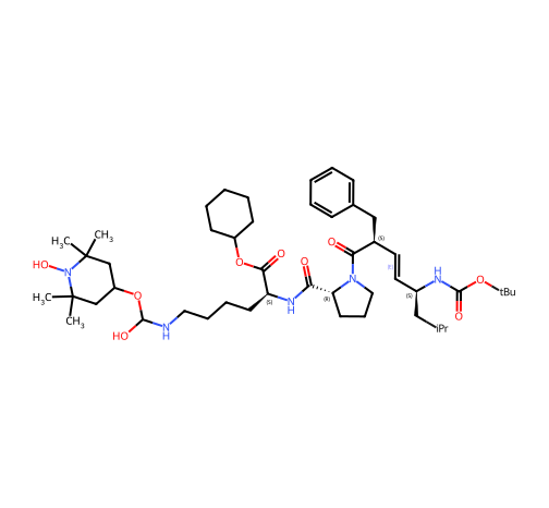 CC(C)C[C@@H](/C=C/[C@H](Cc1ccccc1)C(=O)N1CCC[C@@H]1C(=O)N[C@@H](CCCCNC(O)OC1CC(C)(C)N(O)C(C)(C)C1)C(=O)OC1CCCCC1)NC(=O)OC(C)(C)C